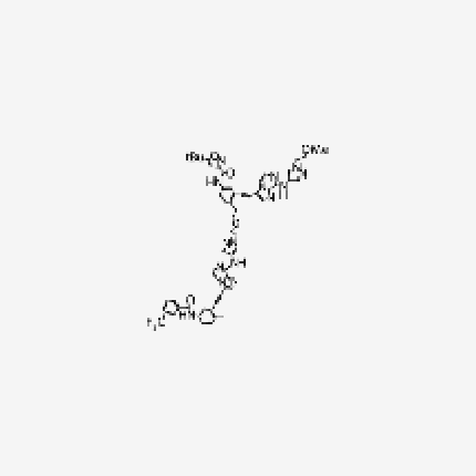 COCCn1cc(Nc2nccn3c(C#Cc4cc(NC(=O)c5cc(C(C)(C)C)on5)ccc4CCOCCn4cc(Nc5nccn6c(C#Cc7cc(NC(=O)c8cccc(C(F)(F)F)c8)ccc7C)cnc56)cn4)cnc23)cn1